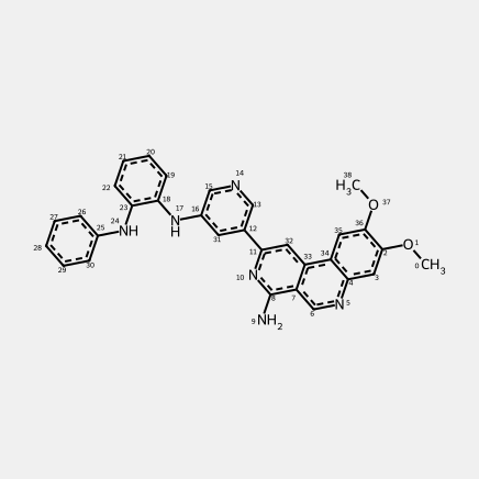 COc1cc2ncc3c(N)nc(-c4cncc(Nc5ccccc5Nc5ccccc5)c4)cc3c2cc1OC